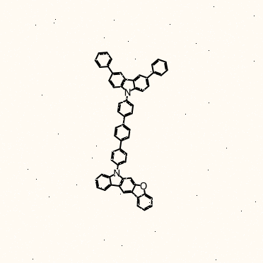 c1ccc(-c2ccc3c(c2)c2cc(-c4ccccc4)ccc2n3-c2ccc(-c3ccc(-c4ccc(-n5c6ccccc6c6cc7c(cc65)oc5ccccc57)cc4)cc3)cc2)cc1